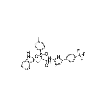 Cc1ccc(S(=O)(=O)C(Cc2c[nH]c3ccccc23)C(=O)Nc2nc(-c3ccc(C(F)(F)F)cc3)cs2)cc1